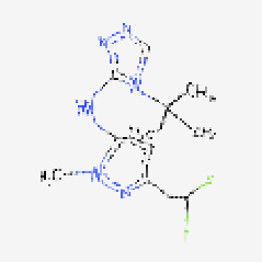 Cn1nc(C(F)F)cc1Nc1nncn1C(C)(C)C